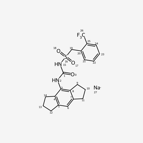 O=C(Nc1c2c(cc3c1CCC3)CCC2)NS(=O)(=O)Cc1ccccc1C(F)(F)F.[Na]